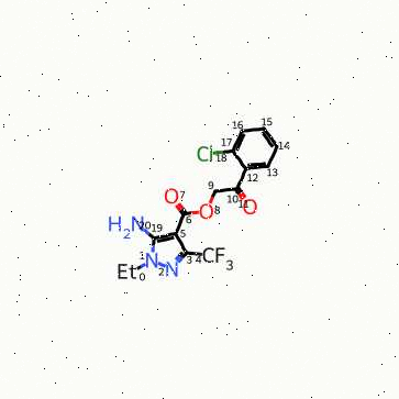 CCn1nc(C(F)(F)F)c(C(=O)OCC(=O)c2ccccc2Cl)c1N